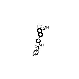 CN1CCN(CC(=O)NC2CCN(c3ccc4c(CO)c(O)ccc4c3)C2)CC1